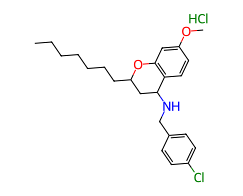 CCCCCCCC1CC(NCc2ccc(Cl)cc2)c2ccc(OC)cc2O1.Cl